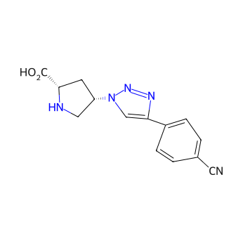 N#Cc1ccc(-c2cn([C@@H]3CN[C@H](C(=O)O)C3)nn2)cc1